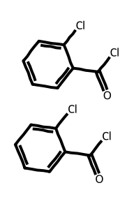 O=C(Cl)c1ccccc1Cl.O=C(Cl)c1ccccc1Cl